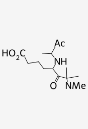 CNC(C)(C)C(=O)C(CCCC(=O)O)NC(C)C(C)=O